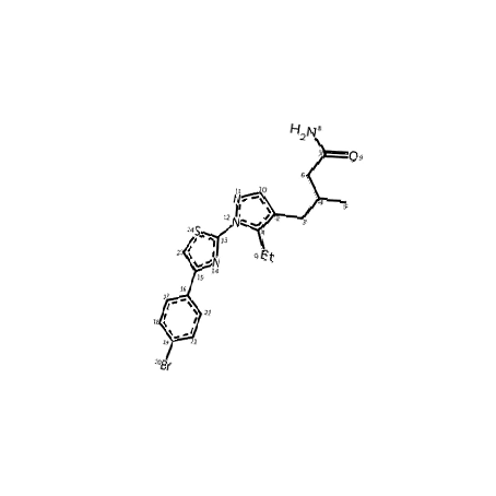 CCc1c(CC(C)CC(N)=O)cnn1-c1nc(-c2ccc(Br)cc2)cs1